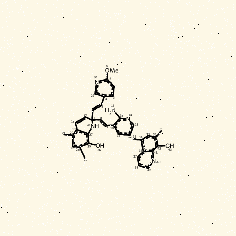 COc1ccc(C=CC2(C=Cc3cccnc3N)C=Cc3c(C)cc(C)c(O)c3N2)cn1.Cc1cc(C)c2cccnc2c1O